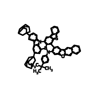 CC(C)(C)c1ccc(N2B3c4c(cc5c(sc6ccccc65)c4-c4cc5c(cc42)oc2cc4ccccc4cc25)-n2c4ccc(C56CC7CC(CC(C7)C5)C6)cc4c4cc(C56CC7CC(CC(C7)C5)C6)cc3c42)cc1